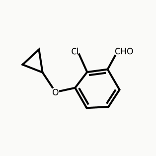 O=Cc1cccc(OC2CC2)c1Cl